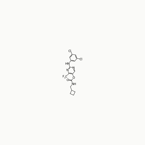 O=C(NCC1CCC1)Oc1cnc(Nc2cc(Cl)cc(Cl)c2)nc1C(F)(F)F